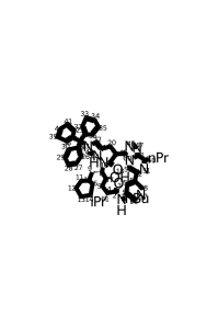 CCCCNC(=O)[C@@H](C[C@H](O)[C@H](CC1CCCCC1)NC(=O)C(Cc1cn(C(c2ccccc2)(c2ccccc2)c2ccccc2)cn1)c1nnc2c(CCC)nc(-c3cccnc3)cn12)C(C)C